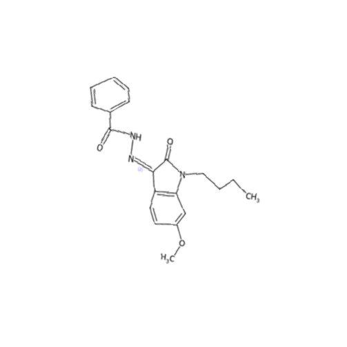 CCCCN1C(=O)/C(=N\NC(=O)c2ccccc2)c2ccc(OC)cc21